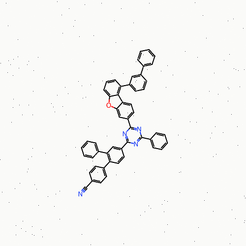 N#Cc1ccc(-c2ccc(-c3nc(-c4ccccc4)nc(-c4ccc5c(c4)oc4cccc(-c6cccc(-c7ccccc7)c6)c45)n3)cc2-c2ccccc2)cc1